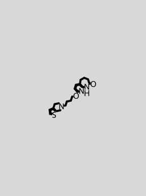 O=C1CCCc2ccc(OCCCCN3CCc4ccsc4C3)nc2N1